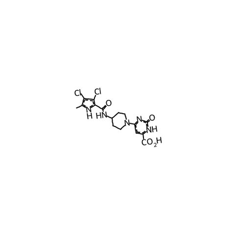 Cc1[nH]c(C(=O)NC2CCN(c3cc(C(=O)O)[nH]c(=O)n3)CC2)c(Cl)c1Cl